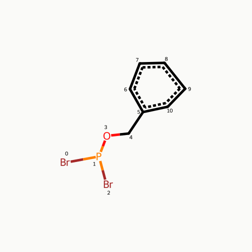 BrP(Br)OCc1ccccc1